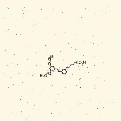 CCOCOc1cc(/C=C/c2cccc(/C=C/CCCC(=O)O)c2)cc(OCOCC)c1